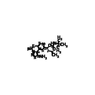 C=CC[C@@H](OC(=O)NC(C)(C)C)c1cc(-c2c(N)cnn2C(F)F)ccn1